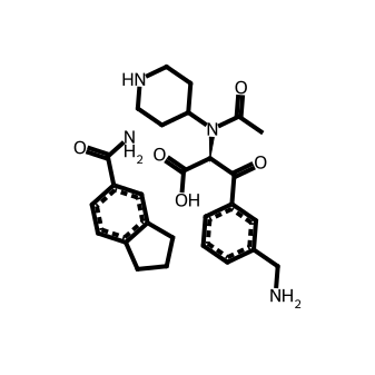 CC(=O)N(C1CCNCC1)[C@H](C(=O)O)C(=O)c1cccc(CN)c1.NC(=O)c1ccc2c(c1)CCC2